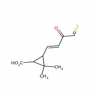 CC1(C)C(C=CC(=O)C=S)C1C(=O)O